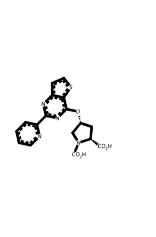 O=C(O)[C@@H]1C[C@@H](Oc2nc(-c3ccccn3)nc3ccsc23)CN1C(=O)O